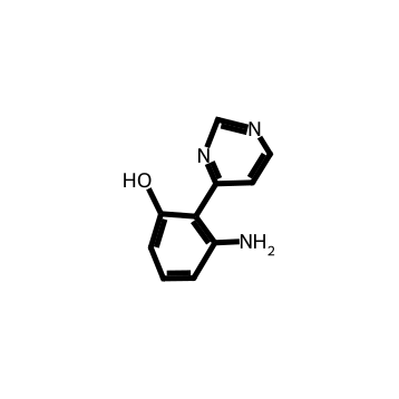 Nc1cccc(O)c1-c1ccncn1